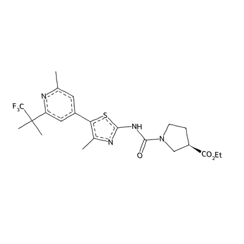 CCOC(=O)[C@@H]1CCN(C(=O)Nc2nc(C)c(-c3cc(C)nc(C(C)(C)C(F)(F)F)c3)s2)C1